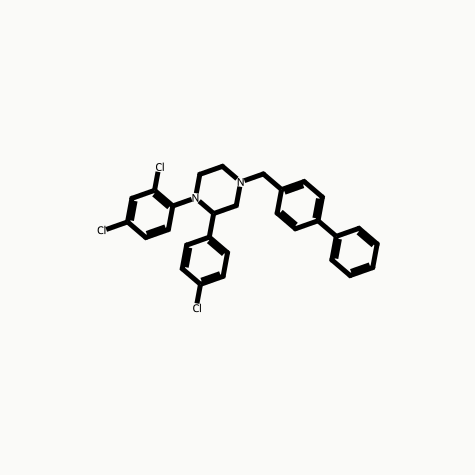 Clc1ccc(C2CN(Cc3ccc(-c4ccccc4)cc3)CCN2c2ccc(Cl)cc2Cl)cc1